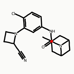 CC1CC2CC(C1)N2C(=O)Nc1ccc(Cl)c(N2CCC2C#N)c1